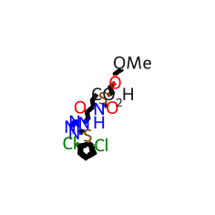 COCCOCCSC(=O)NC(CC(=O)O)C(=O)Cn1nnnc1Sc1c(Cl)cccc1Cl